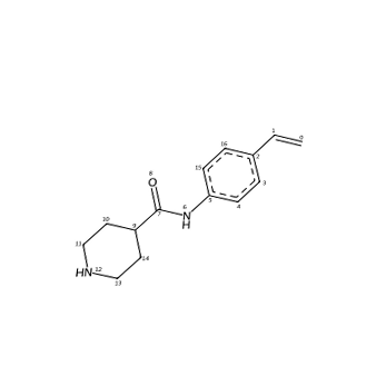 C=Cc1ccc(NC(=O)C2CCNCC2)cc1